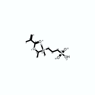 C=C(C)C(=O)OC(C)[N+](C)(C)CCCS(=O)(=O)O